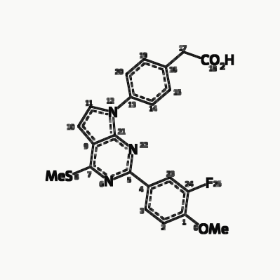 COc1ccc(-c2nc(SC)c3ccn(-c4ccc(CC(=O)O)cc4)c3n2)cc1F